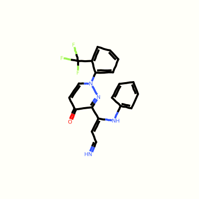 N=C/C=C(\Nc1ccccc1)c1nn(-c2ccccc2C(F)(F)F)ccc1=O